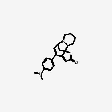 CN(C)c1ccc(C2=CC3CC4(OC(=O)C=C24)C2CCCCN32)cc1